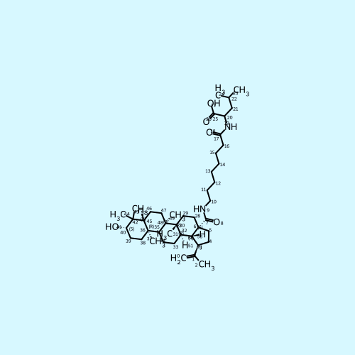 C=C(C)[C@@H]1CC[C@]2(C(=O)NCCCCCCCC(=O)NC(CC(C)C)C(=O)O)CC[C@]3(C)[C@H](CCC4[C@@]5(C)CC[C@H](O)C(C)(C)[C@@H]5CC[C@]43C)[C@@H]12